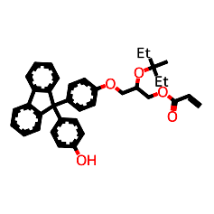 C=CC(=O)OCC(COc1ccc(C2(c3ccc(O)cc3)c3ccccc3-c3ccccc32)cc1)OC(C)(CC)CC